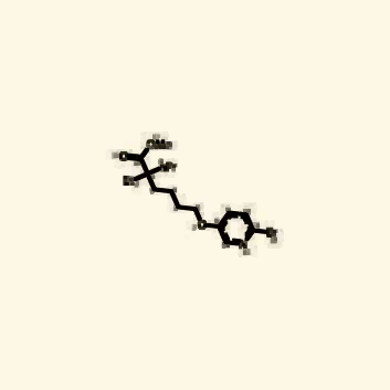 CCCC(CC)(CCCCOc1ccc(Br)nc1)C(=O)OC